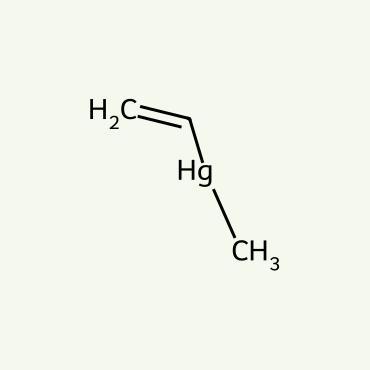 C=[CH][Hg][CH3]